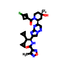 Cc1nonc1C(=O)N[C@H](c1cn2ncc([C@@H]3C[C@@](O)(C(F)(F)F)CCN3C(=O)C34CC(F)(C3)C4)nc2n1)C(C1CC1)C1CC1